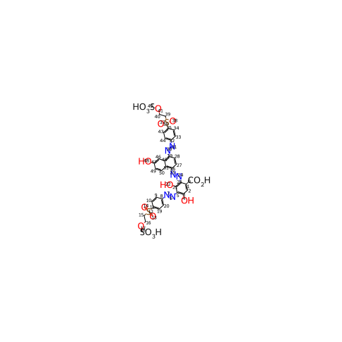 O=C(O)c1cc(O)c(N=Nc2ccc(S(=O)(=O)CCOS(=O)(=O)O)cc2)c(O)c1N=Nc1ccc(N=Nc2ccc(S(=O)(=O)CCOS(=O)(=O)O)cc2)c2cc(O)ccc12